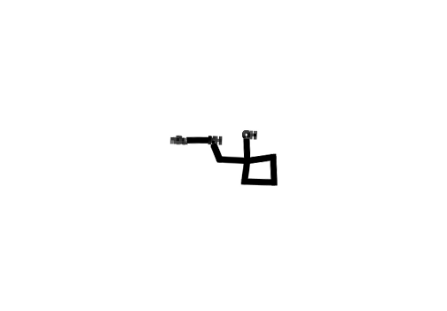 CCCCNCC1(O)CCC1